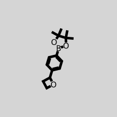 CC1(C)OB(c2ccc(C3CCO3)cc2)OC1(C)C